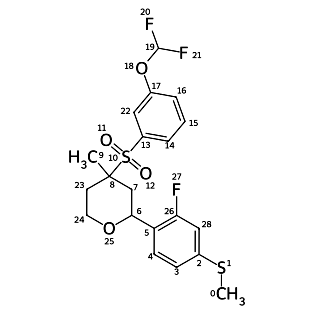 CSc1ccc(C2CC(C)(S(=O)(=O)c3cccc(OC(F)F)c3)CCO2)c(F)c1